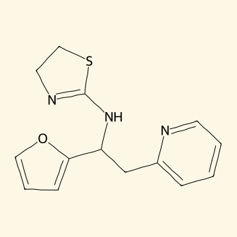 c1ccc(CC(NC2=NCCS2)c2ccco2)nc1